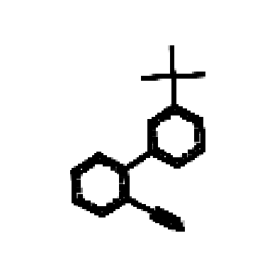 CC(C)(C)c1cccc(-c2ccccc2C#N)c1